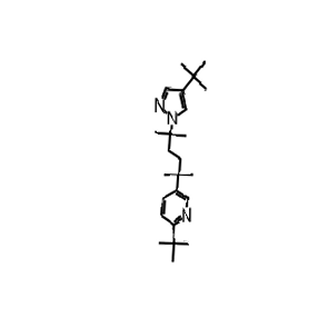 CC(C)(C)c1cnn(C(C)(C)CCC(C)(C)c2ccc(C(C)(C)C)nc2)c1